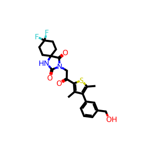 Cc1sc(C(=O)CN2C(=O)NC3(CCC(F)(F)CC3)C2=O)c(C)c1-c1cccc(CO)c1